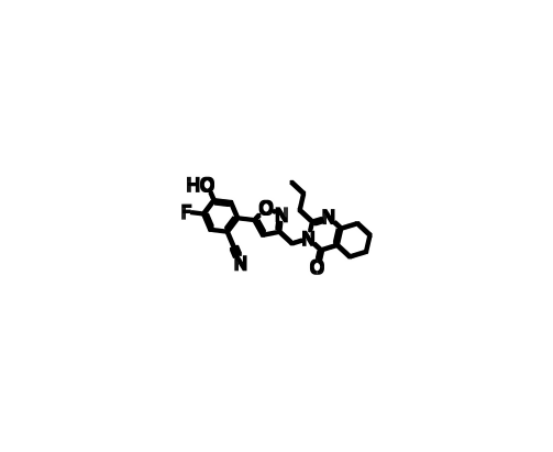 CCCc1nc2c(c(=O)n1Cc1cc(-c3cc(O)c(F)cc3C#N)on1)CCCC2